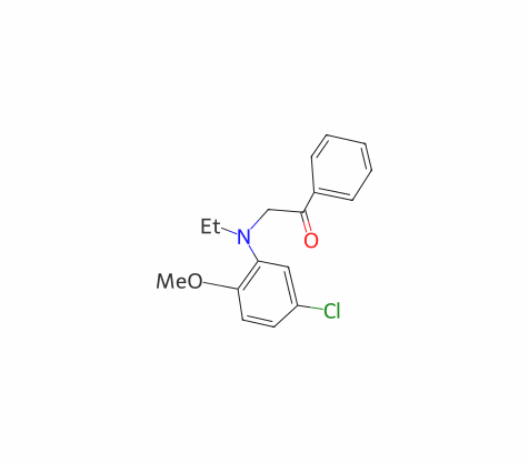 CCN(CC(=O)c1ccccc1)c1cc(Cl)ccc1OC